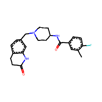 Cc1cc(C(=O)NC2CCN(Cc3ccc4c(c3)NC(=O)CC4)CC2)ccc1F